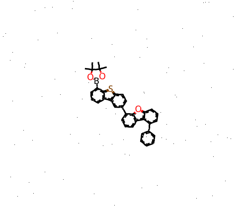 CC1(C)OB(c2cccc3c2sc2ccc(-c4cccc5c4oc4cccc(-c6ccccc6)c45)cc23)OC1(C)C